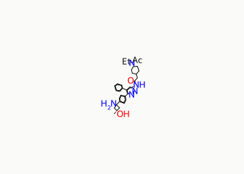 CCN(C(C)=O)C1CCC(CC(=O)Nc2cc(-c3ccccc3)c(-c3ccc([C@]4(N)C[C@](C)(O)C4)cc3)nn2)CC1